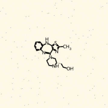 Cc1nc2c(s1)Nc1ccccc1N=C2N1CCN[C@@H](CCO)C1